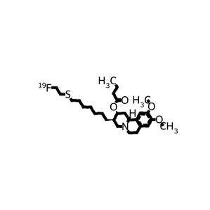 CCCC(=O)O[C@@H]1C[C@@H]2c3cc(OC)c(OC)cc3CCN2C[C@H]1CCCCCCCSCC[19F]